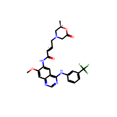 COc1cc2ncnc(Nc3cccc(C(F)(F)F)c3)c2cc1NC(=O)/C=C/CN1CC(=O)O[C@H](C)C1